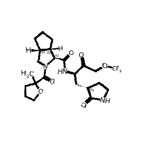 CC1(C(=O)N2C[C@@H]3CCC[C@@H]3[C@H]2C(=O)NC(C[C@@H]2CCNC2=O)C(=O)COC(F)(F)F)CCCO1